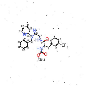 CC(C)(C)OC(=O)N[C@H](Cc1cccc(C(F)(F)F)c1)C(=O)NCc1nc2cccnc2n1Cc1ccccc1